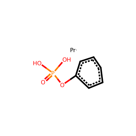 O=P(O)(O)Oc1ccccc1.[Pr]